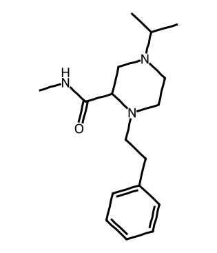 CNC(=O)C1CN(C(C)C)CCN1CCc1ccccc1